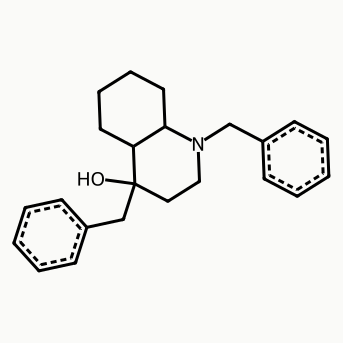 OC1(Cc2ccccc2)CCN(Cc2ccccc2)C2CCCCC21